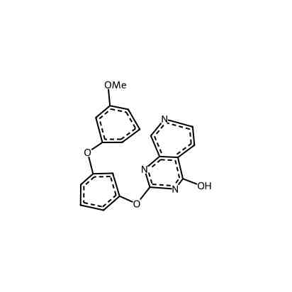 COc1cccc(Oc2cccc(Oc3nc(O)c4ccncc4n3)c2)c1